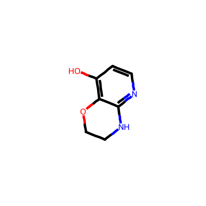 Oc1ccnc2c1OCCN2